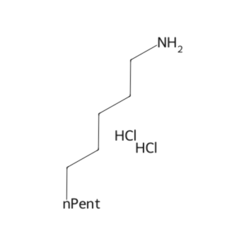 CCCCCCCCCCN.Cl.Cl